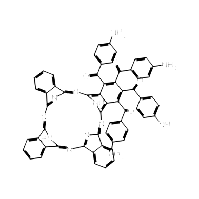 Nc1ccc(C(=O)c2c(C(=O)c3ccc(N)cc3)c(C(=O)c3ccc(N)cc3)c3c4nc5nc(nc6[nH]c(nc7nc(nc([nH]4)c3c2C(=O)c2ccc(N)cc2)-c2ccccc2-7)c2ccccc62)-c2ccccc2-5)cc1